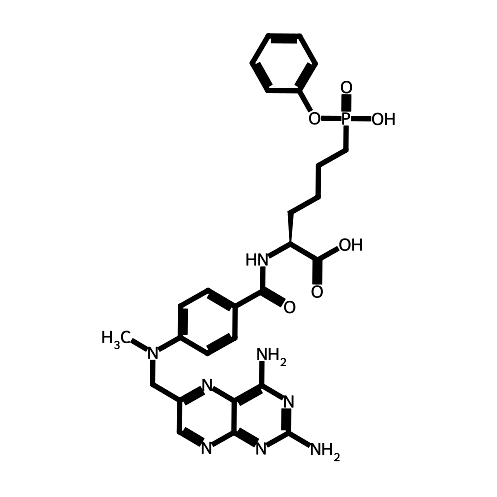 CN(Cc1cnc2nc(N)nc(N)c2n1)c1ccc(C(=O)N[C@@H](CCCCP(=O)(O)Oc2ccccc2)C(=O)O)cc1